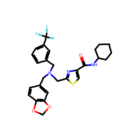 O=C(NC1CCCCC1)c1csc(CN(Cc2cccc(C(F)(F)F)c2)Cc2ccc3c(c2)OCO3)n1